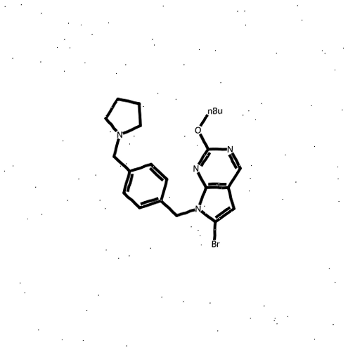 CCCCOc1ncc2cc(Br)n(Cc3ccc(CN4CCCC4)cc3)c2n1